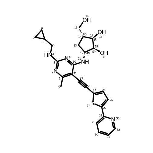 Cc1nc(NCC2CC2)nc(N[C@@H]2C[C@H](CO)[C@@H](O)[C@H]2O)c1C#Cc1ccc(-c2ccccn2)s1